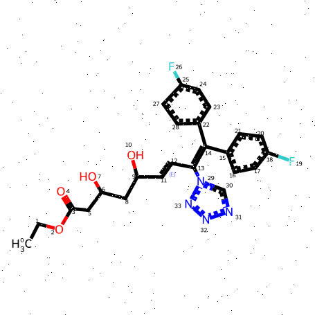 CCOC(=O)CC(O)CC(O)/C=C/C(=C(c1ccc(F)cc1)c1ccc(F)cc1)n1cnnn1